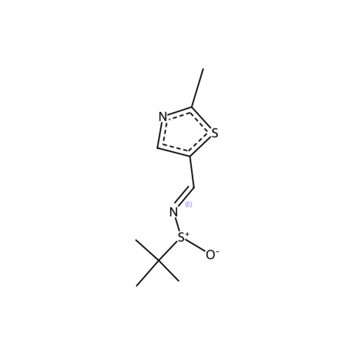 Cc1ncc(/C=N/[S+]([O-])C(C)(C)C)s1